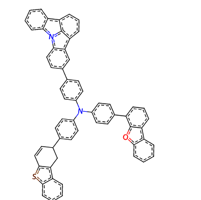 C1=CC(c2ccc(N(c3ccc(-c4ccc5c(c4)c4cccc6c7ccccc7n5c64)cc3)c3ccc(-c4cccc5c4oc4ccccc45)cc3)cc2)Cc2c1sc1ccccc21